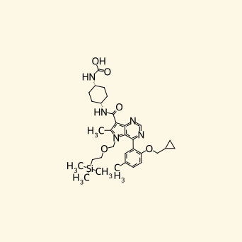 Cc1ccc(OCC2CC2)c(-c2ncnc3c(C(=O)N[C@H]4CC[C@@H](NC(=O)O)CC4)c(C)n(COCC[Si](C)(C)C)c23)c1